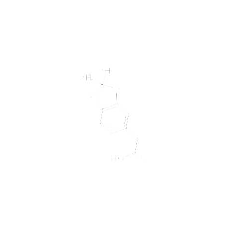 [2H]C1([2H])Oc2ccc(CC(C)O)cc2O1